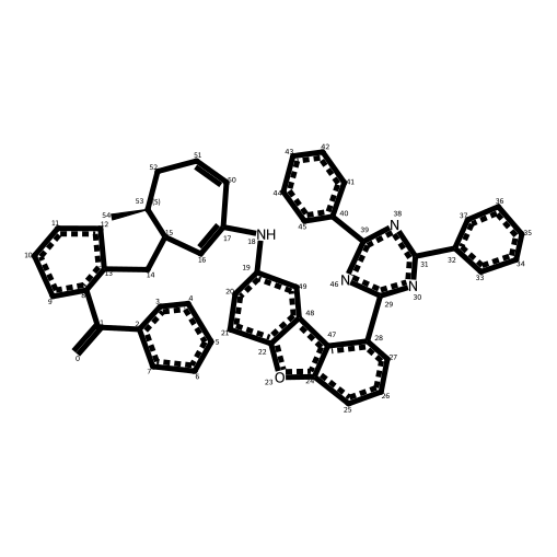 C=C(c1ccccc1)c1ccccc1CC1C=C(Nc2ccc3oc4cccc(-c5nc(-c6ccccc6)nc(-c6ccccc6)n5)c4c3c2)C=CC[C@@H]1C